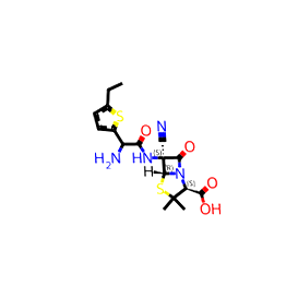 CCc1ccc(C(N)C(=O)N[C@@]2(C#N)C(=O)N3[C@@H](C(=O)O)C(C)(C)S[C@@H]32)s1